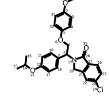 COc1ccc(OCC(c2ccc(OC(C)C)cc2)N2Cc3cc(Cl)ccc3C2=O)cc1